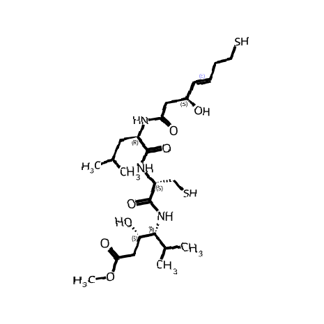 COC(=O)C[C@H](O)[C@H](NC(=O)[C@@H](CS)NC(=O)[C@@H](CC(C)C)NC(=O)C[C@H](O)/C=C/CCS)C(C)C